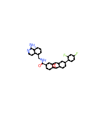 Nc1nccc2c(CNC(=O)c3ccc4c(c3)c3oc4c4ccc(-c5ccc(F)cc5F)cc43)cccc12